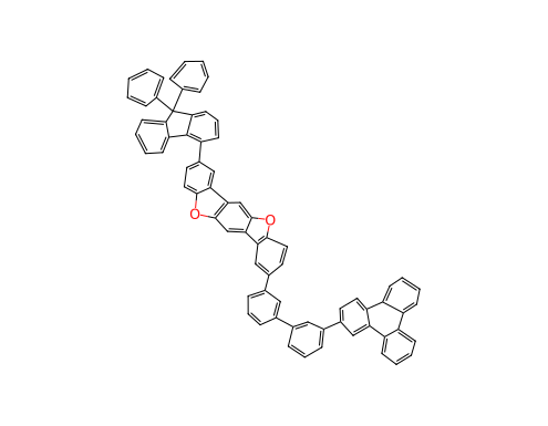 c1ccc(C2(c3ccccc3)c3ccccc3-c3c(-c4ccc5oc6cc7c(cc6c5c4)oc4ccc(-c5cccc(-c6cccc(-c8ccc9c%10ccccc%10c%10ccccc%10c9c8)c6)c5)cc47)cccc32)cc1